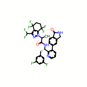 CC(C(=O)N[C@@H](Cc1cc(F)cc(F)c1)c1ncccc1-c1ccc2c(c1)CNC2=O)n1nc(C(F)F)c2c1C(F)(F)CCC2(F)F